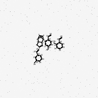 C1=CC2C3C=CC(C3)C2C1.C=Cc1ccc(C)cc1.C=Cc1cccc(C)c1.C=Cc1ccccc1C